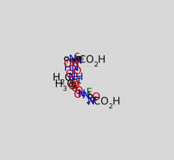 C=C(CC(CC)[C@@]1(C)OO[C@@]2(CCCC(OC(=O)N3CCN(c4cc5c(cc4F)c(=O)c(C(=O)O)cn5C4CC4)CC3)C2)O1)NC(=O)CCC(=O)NCCCN1C([C@H]2CSC(c3ccccc3O)=N2)SC[C@H]1C(=O)O